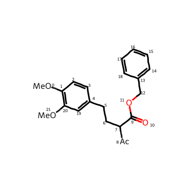 COc1ccc(CCC(C(C)=O)C(=O)OCc2ccccc2)cc1OC